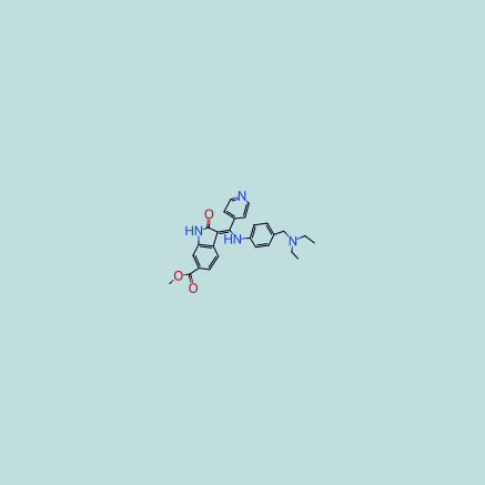 CCN(CC)Cc1ccc(NC(=C2C(=O)Nc3cc(C(=O)OC)ccc32)c2ccncc2)cc1